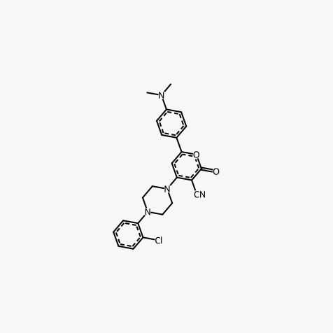 CN(C)c1ccc(-c2cc(N3CCN(c4ccccc4Cl)CC3)c(C#N)c(=O)o2)cc1